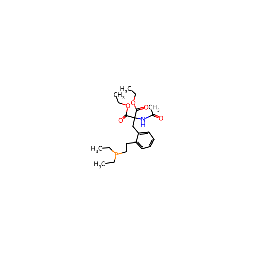 CCOC(=O)C(Cc1ccccc1CCP(CC)CC)(NC(C)=O)C(=O)OCC